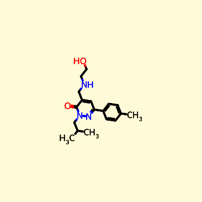 Cc1ccc(-c2cc(CNCCO)c(=O)n(CC(C)C)n2)cc1